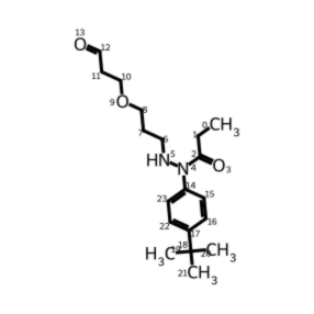 CCC(=O)N(NCCCOCCC=O)c1ccc(C(C)(C)C)cc1